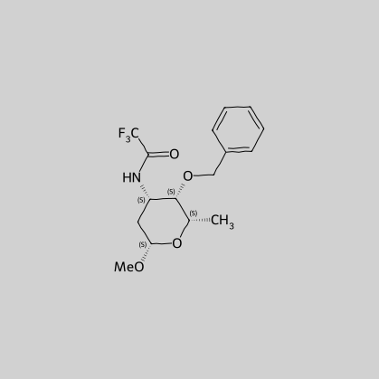 CO[C@@H]1C[C@H](NC(=O)C(F)(F)F)[C@H](OCc2ccccc2)[C@H](C)O1